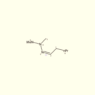 CCCC/C=N\N(C)NC